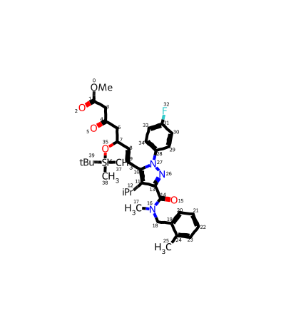 COC(=O)CC(=O)CC(C=Cc1c(C(C)C)c(C(=O)N(C)Cc2ccccc2C)nn1-c1ccc(F)cc1)O[Si](C)(C)C(C)(C)C